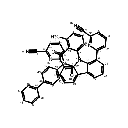 Cc1cccc(-n2c3c(-c4cccc(C#N)n4)cccc3c3cccc(-c4cccc(C#N)n4)c32)c1C(=O)N(C=O)c1ccc(-c2ccccc2)cc1